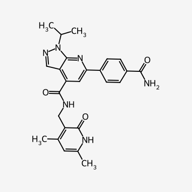 Cc1cc(C)c(CNC(=O)c2cc(-c3ccc(C(N)=O)cc3)nc3c2cnn3C(C)C)c(=O)[nH]1